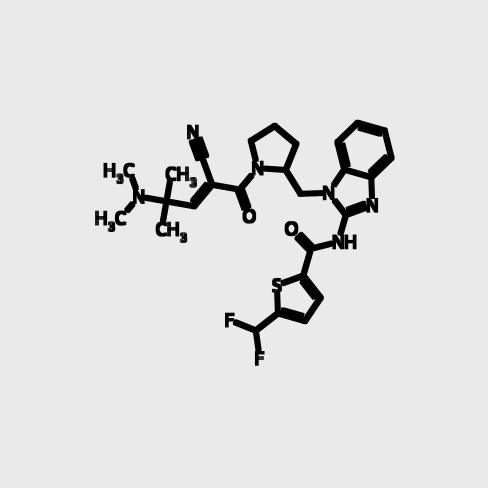 CN(C)C(C)(C)C=C(C#N)C(=O)N1CCCC1Cn1c(NC(=O)c2ccc(C(F)F)s2)nc2ccccc21